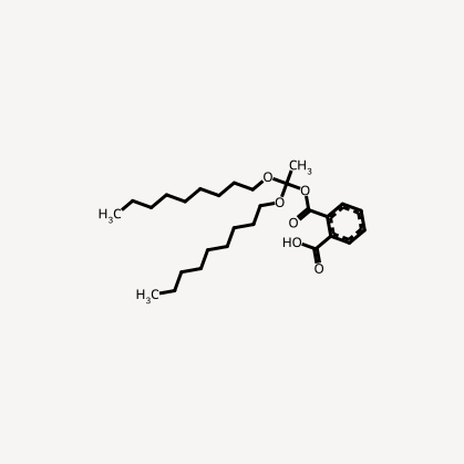 CCCCCCCCCOC(C)(OCCCCCCCCC)OC(=O)c1ccccc1C(=O)O